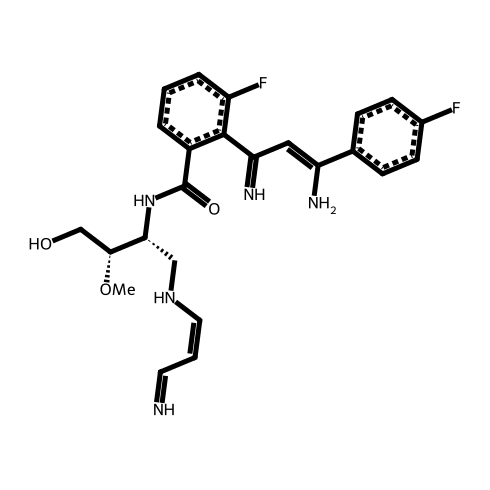 CO[C@H](CO)[C@@H](CN/C=C\C=N)NC(=O)c1cccc(F)c1C(=N)/C=C(\N)c1ccc(F)cc1